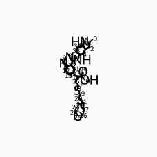 Cc1cc2cc(Nc3ncnc4ccc(C(=CCSCCCN5CCOCC5)C(=O)O)cc34)ccc2[nH]1